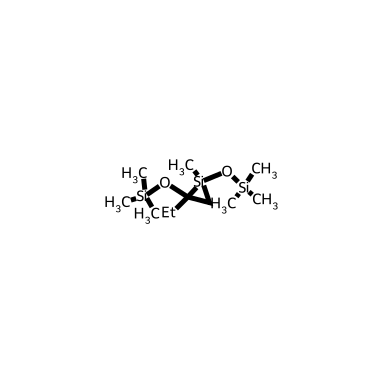 CCC1(O[Si](C)(C)C)C[Si]1(C)O[Si](C)(C)C